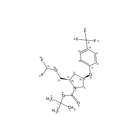 CC(C)(C)OC(=O)N1C[C@H](Oc2ccc(C(F)(F)F)cc2)C[C@@H]1COC(F)F